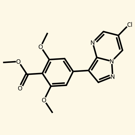 COC(=O)c1c(OC)cc(-c2cnn3cc(Cl)cnc23)cc1OC